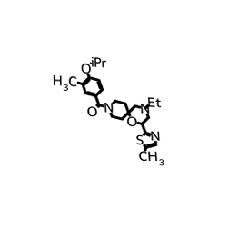 CCN1CC(c2ncc(C)s2)OC2(CCN(C(=O)c3ccc(OC(C)C)c(C)c3)CC2)C1